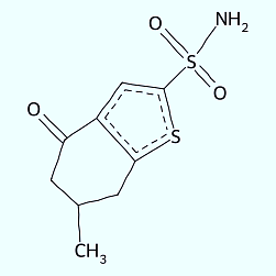 CC1CC(=O)c2cc(S(N)(=O)=O)sc2C1